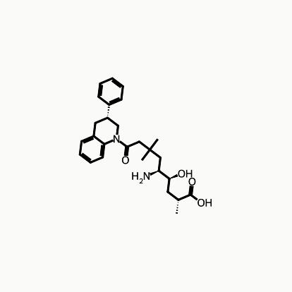 C[C@H](C[C@H](O)[C@@H](N)CC(C)(C)CC(=O)N1C[C@@H](c2ccccc2)Cc2ccccc21)C(=O)O